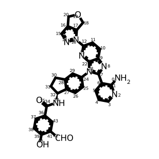 Nc1ncccc1-c1nc2ccc(-n3ncc4c3COC4)nc2n1-c1ccc2c(c1)CC[C@@H]2NC(=O)c1ccc(O)c(C=O)c1